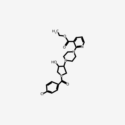 CCOC(=O)c1cccnc1N1CCN(C2CN(C(=O)c3ccc(Cl)cc3)CC2O)CC1